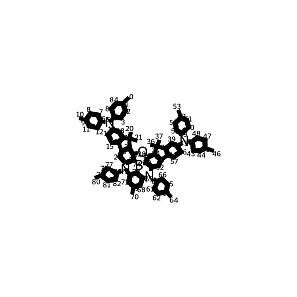 Cc1ccc(N(c2ccc(C)cc2)c2ccc3c(c2)C(C)(C)c2c-3cc3c4c2Oc2c5c(cc6c2C(C)(C)c2cc(N(c7ccc(C)cc7)c7ccc(C)cc7)ccc2-6)N(c2ccc(C)cc2)c2cc(C)cc(c2B45)N3c2ccc(C)cc2)cc1